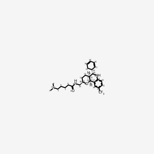 CN(C)CCCCC(=O)NC[C@H]1CC[C@@H]2[C@H](O1)c1cc(C(F)(F)F)ccc1N[C@H]2C1C=CC=CC1